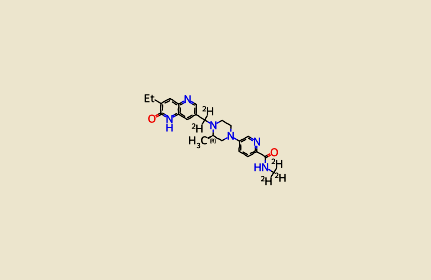 [2H]C([2H])([2H])NC(=O)c1ccc(N2CCN(C([2H])([2H])c3cnc4cc(CC)c(=O)[nH]c4c3)[C@H](C)C2)cn1